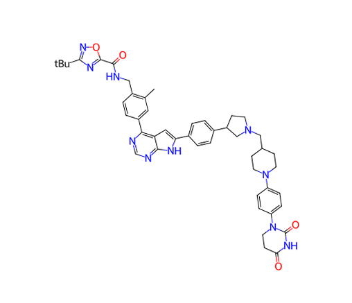 Cc1cc(-c2ncnc3[nH]c(-c4ccc(C5CCN(CC6CCN(c7ccc(N8CCC(=O)NC8=O)cc7)CC6)C5)cc4)cc23)ccc1CNC(=O)c1nc(C(C)(C)C)no1